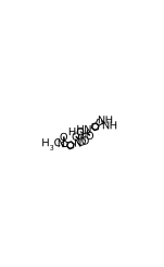 CN1Cc2ccc(N3CCO[C@H]([C@@H](O)C(=O)Nc4ccc5c(c4)CNC5=N)C3=O)cc2C1=O